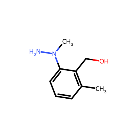 Cc1cccc(N(C)N)c1CO